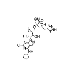 CO[C@H](COC(CO)(CCCc1nn[nH]n1)P(=O)(O)O)[C@@H](O)[C@@H](O)n1ncc2c(NC3CCCC3)nc(Cl)nc21